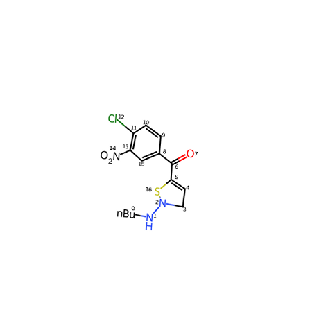 CCCCNN1CC=C(C(=O)c2ccc(Cl)c([N+](=O)[O-])c2)S1